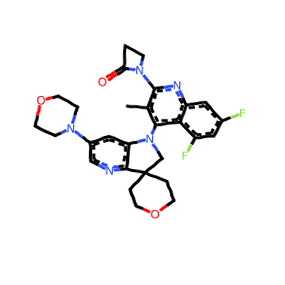 Cc1c(N2CCC2=O)nc2cc(F)cc(F)c2c1N1CC2(CCOCC2)c2ncc(N3CCOCC3)cc21